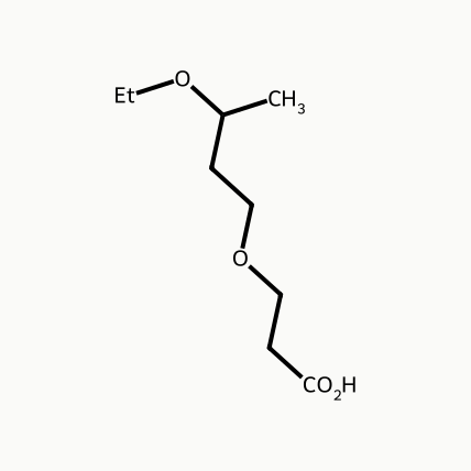 CCOC(C)CCOCCC(=O)O